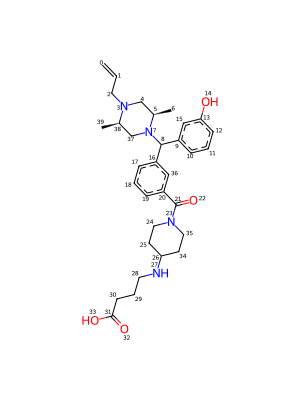 C=CCN1C[C@@H](C)N(C(c2cccc(O)c2)c2cccc(C(=O)N3CCC(NCCCC(=O)O)CC3)c2)C[C@H]1C